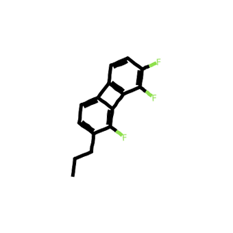 CCCc1ccc2c(c1F)-c1c-2ccc(F)c1F